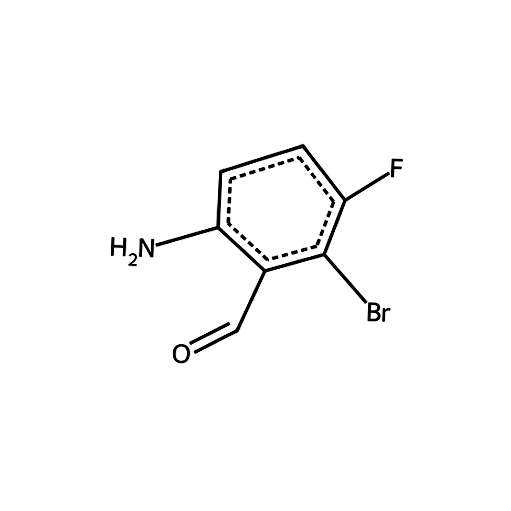 Nc1ccc(F)c(Br)c1C=O